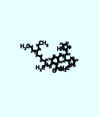 CCCN(CCC)CCCCN(C)Cc1ccc(CN(Cc2ncc[nH]2)Cc2nccn2C)cc1C(=O)O